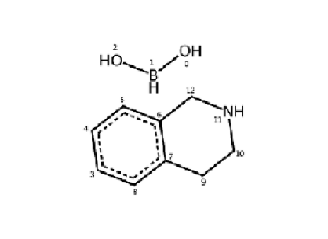 OBO.c1ccc2c(c1)CCNC2